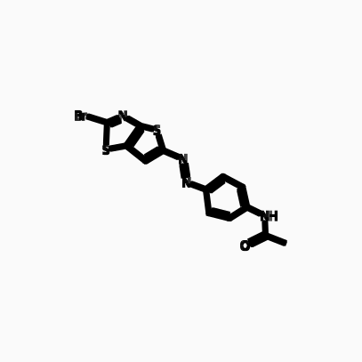 CC(=O)Nc1ccc(N=Nc2cc3sc(Br)nc3s2)cc1